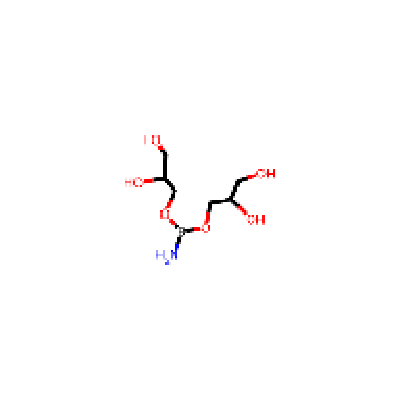 NB(OCC(O)CO)OCC(O)CO